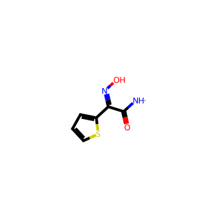 [NH]C(=O)C(=NO)c1cccs1